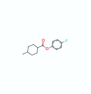 CC1CCC(C(=O)Oc2ccc(F)cc2)CC1